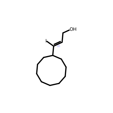 OC/C=C(\I)C1CCCCCCCCC1